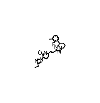 CCc1cn(-c2ccc(C=Cc3nc4n(n3)CCCC4c3cccc(C)c3F)nc2OC)cn1